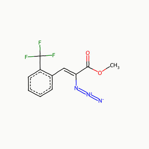 COC(=O)C(=Cc1ccccc1C(F)(F)F)N=[N+]=[N-]